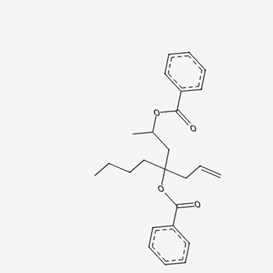 C=CCC(CCCC)(CC(C)OC(=O)c1ccccc1)OC(=O)c1ccccc1